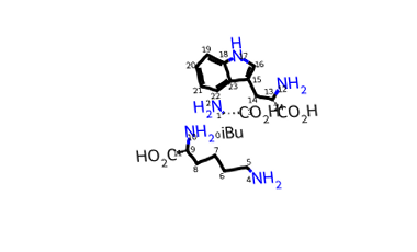 CC[C@H](C)[C@H](N)C(=O)O.NCCCC[C@H](N)C(=O)O.N[C@@H](Cc1c[nH]c2ccccc12)C(=O)O